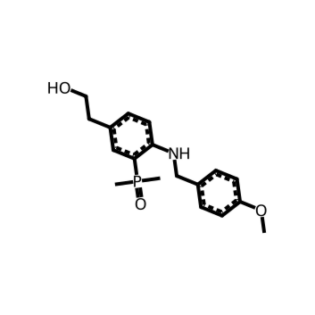 COc1ccc(CNc2ccc(CCO)cc2P(C)(C)=O)cc1